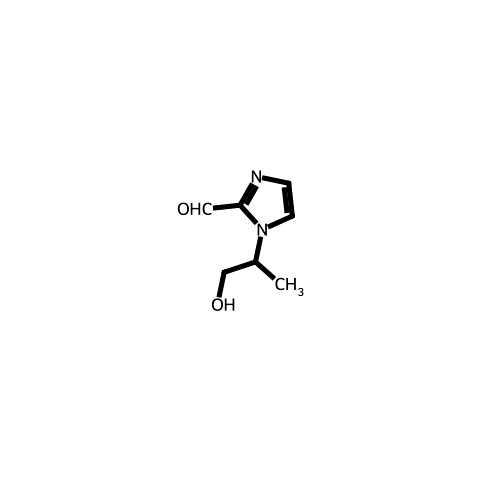 CC(CO)n1ccnc1C=O